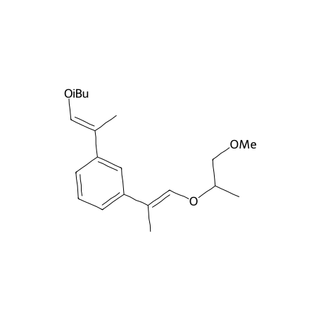 COCC(C)OC=C(C)c1cccc(C(C)=COCC(C)C)c1